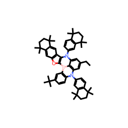 CCc1cc2c3c(c1)N(c1ccc4c(c1)C(C)(C)CCC4(C)C)c1c(oc4cc5c(cc14)C(C)(C)CCC5(C)C)B3c1cc(C(C)(C)C)ccc1N2c1ccc2c(c1)C(C)(C)CCC2(C)C